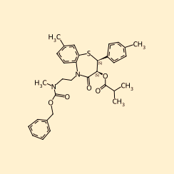 Cc1ccc([C@@H]2Sc3cc(C)ccc3N(CCN(C)C(=O)OCc3ccccc3)C(=O)[C@@H]2OC(=O)C(C)C)cc1